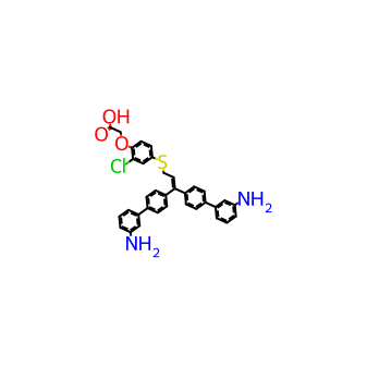 Nc1cccc(-c2ccc(C(=CCSc3ccc(OCC(=O)O)c(Cl)c3)c3ccc(-c4cccc(N)c4)cc3)cc2)c1